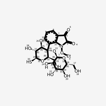 CCON1C(=O)C(=O)c2cccc([C@]3(O[C@H]4O[C@H](CO)[C@@H](O)[C@H](O)[C@H]4O)[C@H](O)[C@@H](O)[C@H](S)O[C@@H]3CO)c21